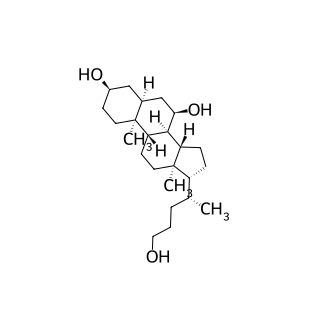 C[C@H](CCCO)[C@H]1CC[C@H]2[C@@H]3[C@H](O)C[C@@H]4C[C@H](O)CC[C@]4(C)[C@H]3CC[C@]12C